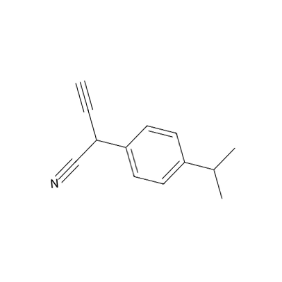 C#CC(C#N)c1ccc(C(C)C)cc1